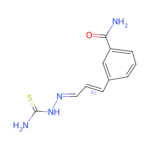 NC(=O)c1cccc(/C=C/C=NNC(N)=S)c1